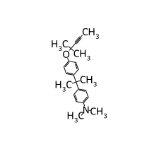 CC#CC(C)(C)Oc1ccc(C(C)(C)c2ccc(N(C)C)cc2)cc1